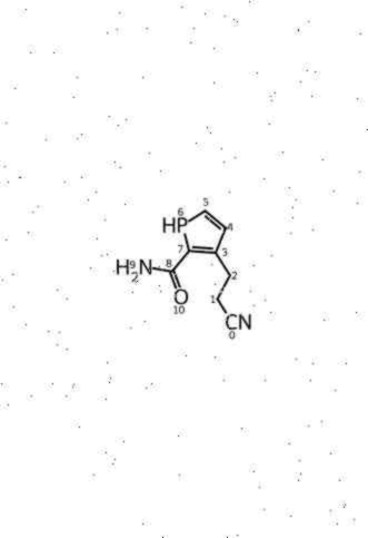 N#CCCc1cc[pH]c1C(N)=O